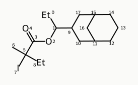 CCC(OC(=O)C(C)(I)CC)C1CC2CCCC(C2)C1